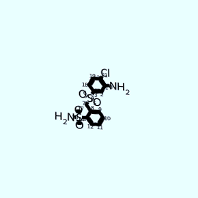 Nc1cc(S(=O)(=O)Cc2ccccc2S(N)(=O)=O)ccc1Cl